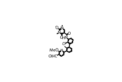 COc1nc(-c2cccc(-c3cccc(NC(=O)c4cn(C)c(=O)n(C)c4=O)c3Cl)c2C)ccc1C=O